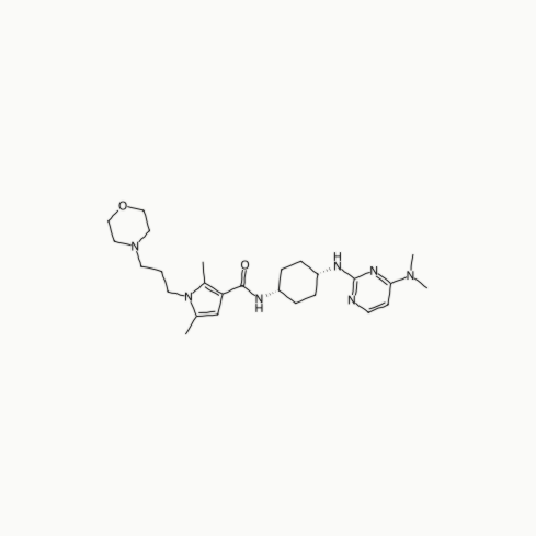 Cc1cc(C(=O)N[C@H]2CC[C@@H](Nc3nccc(N(C)C)n3)CC2)c(C)n1CCCN1CCOCC1